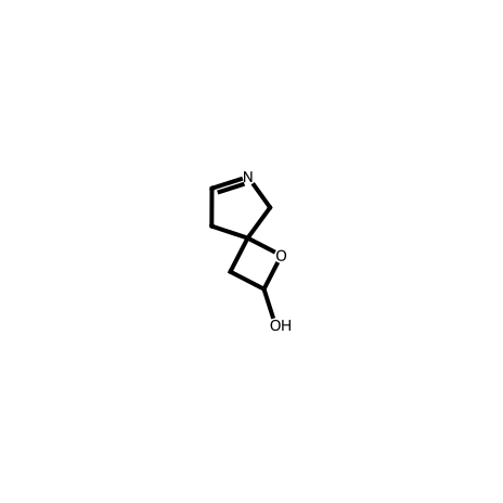 OC1CC2(CC=NC2)O1